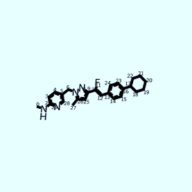 CNc1ccc(Cn2nc(/C(F)=C/c3ccc(C4CCCCC4)cc3)cc2C)cn1